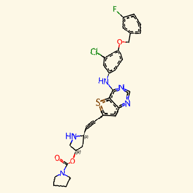 O=C(O[C@H]1CN[C@@H](C#Cc2cc3ncnc(Nc4ccc(OCc5cccc(F)c5)c(Cl)c4)c3s2)C1)N1CCCC1